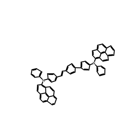 C(=C\c1ccc(N(c2ccccc2)c2ccc3ccc4cccc5ccc2c3c45)cc1)/c1ccc(-c2ccc(N(c3ccccc3)c3ccc4ccc5cccc6ccc3c4c56)cc2)cc1